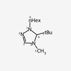 CCCCCCN1N=CN(C)C1C(C)(C)C